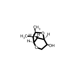 C[C@@H]1[C@@H]2OC[C@H](O)[C@H](O[C@@H]1C)[C@H]2C